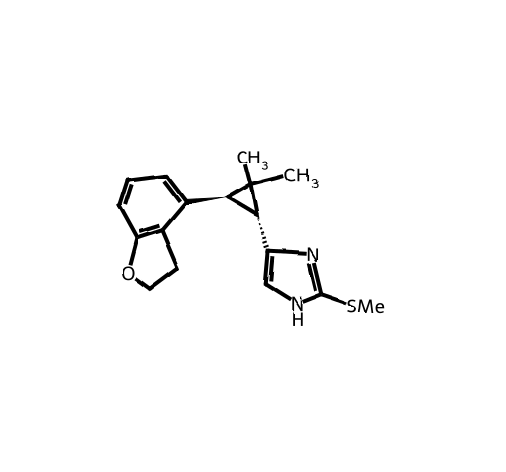 CSc1nc([C@@H]2[C@@H](c3cccc4c3CCO4)C2(C)C)c[nH]1